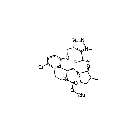 C[C@H]1CCN(C[C@@H]2c3c(OCc4nnn(C)c4C(F)F)ccc(Cl)c3CCN2C(=O)OC(C)(C)C)C1=O